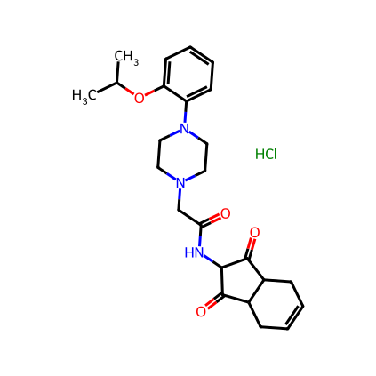 CC(C)Oc1ccccc1N1CCN(CC(=O)NC2C(=O)C3CC=CCC3C2=O)CC1.Cl